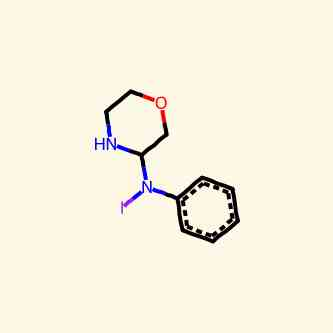 IN(c1ccccc1)C1COCCN1